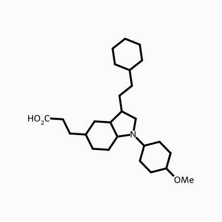 COC1CCC(N2CC(CCC3CCCCC3)C3CC(CCC(=O)O)CCC32)CC1